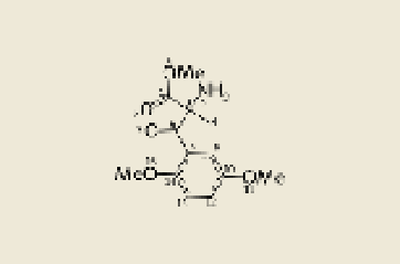 COC(=O)C(C)(N)C(=O)c1cc(OC)ccc1OC